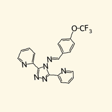 FC(F)(F)Oc1ccc(C=Nn2c(-c3ccccn3)nnc2-c2ccccn2)cc1